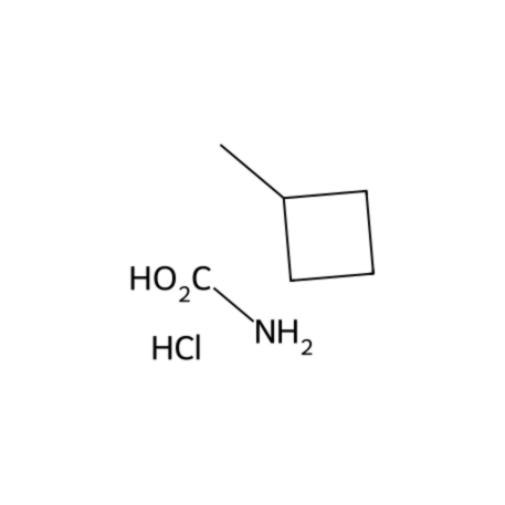 CC1CCC1.Cl.NC(=O)O